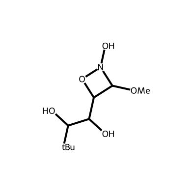 COC1C(C(O)C(O)C(C)(C)C)ON1O